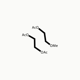 CC(=O)OCCOC(C)=O.COCCOC(C)=O